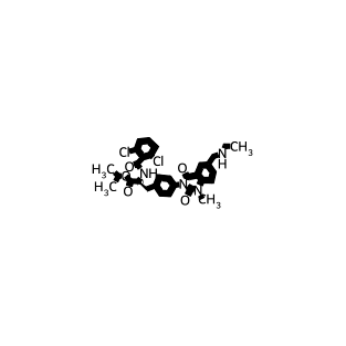 CCNCc1ccc2c(c1)c(=O)n(-c1ccc(C[C@H](NC(=O)c3c(Cl)cccc3Cl)C(=O)OC(C)C)cc1)c(=O)n2C